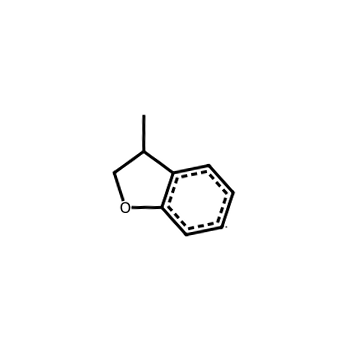 CC1COc2c[c]ccc21